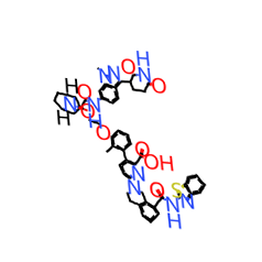 Cc1c(OCCOC2C[C@H]3CC[C@@H](C2)N3CC(=O)Nc2ccc3c(C4CCC(=O)NC4=O)nn(C)c3c2)cccc1-c1ccc(N2CCc3cccc(C(=O)Nc4nc5ccccc5s4)c3C2)nc1C(=O)O